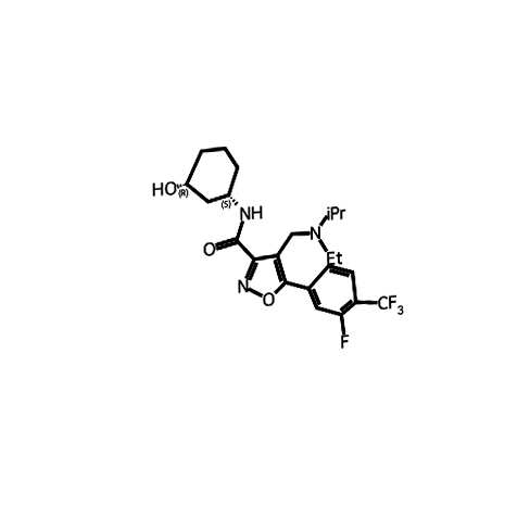 CCN(Cc1c(C(=O)N[C@H]2CCC[C@@H](O)C2)noc1-c1ccc(C(F)(F)F)c(F)c1)C(C)C